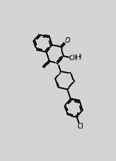 C=C1C(C2CCC(c3ccc(Cl)cc3)CC2)=C(O)C(=O)c2ccccc21